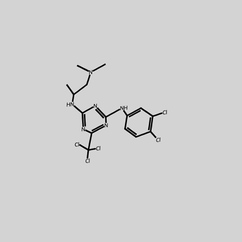 CC(CN(C)C)Nc1nc(Nc2ccc(Cl)c(Cl)c2)nc(C(Cl)(Cl)Cl)n1